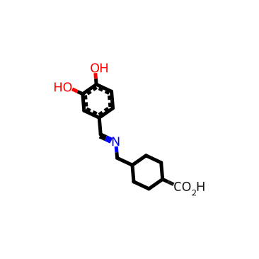 O=C(O)C1CCC(CN=Cc2ccc(O)c(O)c2)CC1